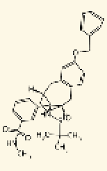 CNS(=O)(=O)c1cccc([C@]2(N[S+]([O-])C(C)(C)C)[C@@H]3CC[C@H]2Cc2ccc(OCc4ccccc4)cc2C3)c1